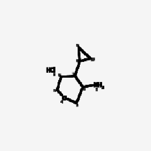 Cl.NC1COCCC1C1CC1